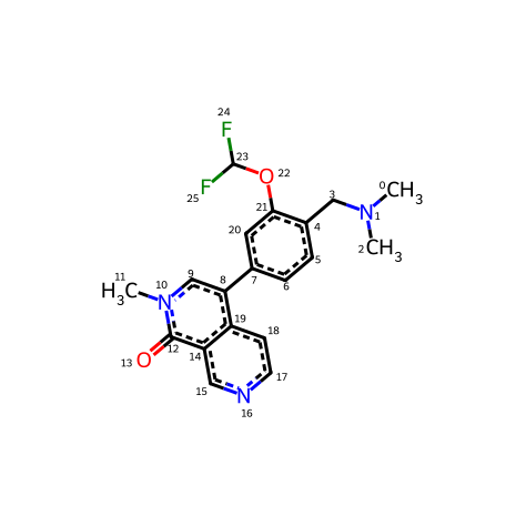 CN(C)Cc1ccc(-c2cn(C)c(=O)c3cnccc23)cc1OC(F)F